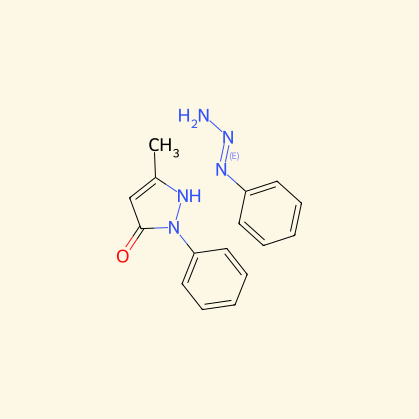 Cc1cc(=O)n(-c2ccccc2)[nH]1.N/N=N/c1ccccc1